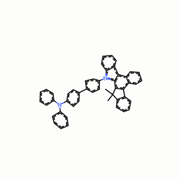 CC1(C)c2ccccc2-c2c1c1c(c3ccccc23)c2ccccc2n1-c1ccc(-c2ccc(N(c3ccccc3)c3ccccc3)cc2)cc1